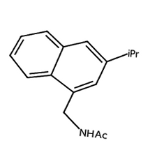 CC(=O)NCc1cc(C(C)C)cc2ccccc12